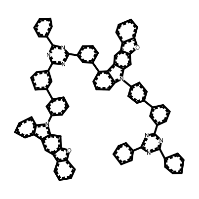 c1ccc(-c2nc(-c3ccccc3)nc(-c3cccc(-c4ccc(-n5c6cc7oc8ccccc8c7cc6c6c(-c7cccc(-c8nc(-c9ccccc9)nc(-c9cccc(-c%10cccc(-n%11c%12ccccc%12c%12cc%13c(cc%12%11)oc%11ccccc%11%13)c%10)c9)n8)c7)cccc65)cc4)c3)n2)cc1